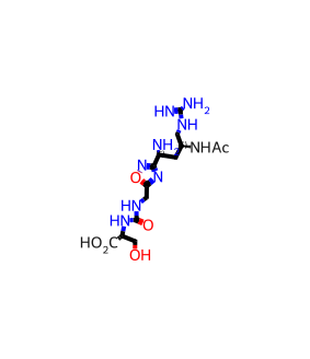 CC(=O)N[C@H](CNC(=N)N)C[C@H](N)c1noc(CNC(=O)NC(CO)C(=O)O)n1